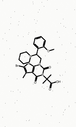 COc1ccccc1C(Cn1c(=O)n(C(C)(C)C(=O)O)c(=O)c2c(C)c(Br)sc21)N1CCCCC1